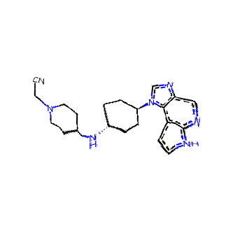 N#CCN1CCC(N[C@H]2CC[C@H](n3cnc4cnc5[nH]ccc5c43)CC2)CC1